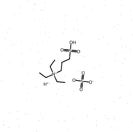 CC[N+](CC)(CC)CCCS(=O)(=O)O.O=S(=O)([O-])[O-].[H+]